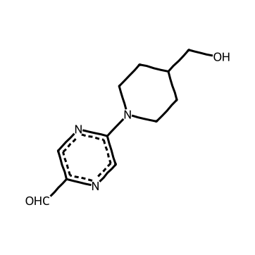 O=Cc1cnc(N2CCC(CO)CC2)cn1